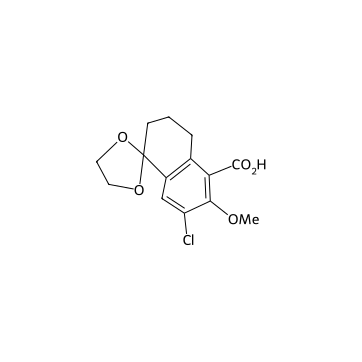 COc1c(Cl)cc2c(c1C(=O)O)CCCC21OCCO1